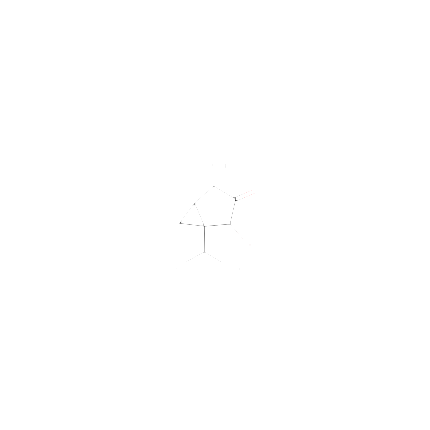 CC(C)C12CC1[C@H](C)C(=O)C2Br